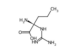 CCC[C@](N)(NC(=N)N)C(=O)O